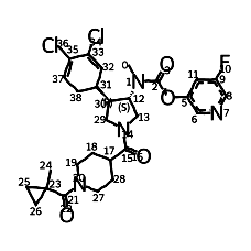 CN(C(=O)Oc1cncc(F)c1)[C@@H]1CN(C(=O)C2CCN(C(=O)C3(C)CC3)CC2)C[C@H]1C1C=C(Cl)C(Cl)=CC1